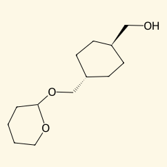 OC[C@H]1CC[C@H](COC2CCCCO2)CC1